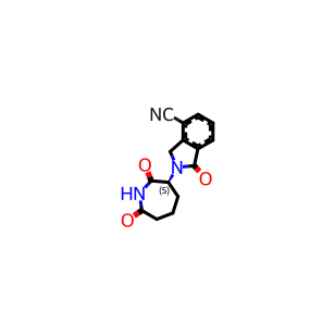 N#Cc1cccc2c1CN([C@H]1CCCC(=O)NC1=O)C2=O